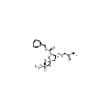 CS(=O)(=O)O[C@@H]1C[C@@H](COCC(N)=O)N(C(=O)OCc2ccccc2)C1